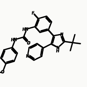 COc1ccc(NC(=O)Nc2cc(-c3nc(C(C)(C)C)[nH]c3-c3ccncc3)ccc2F)cc1